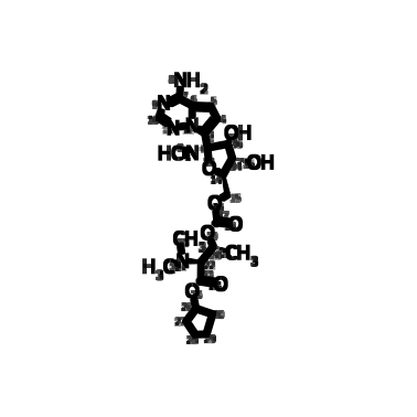 C#[N+][C@@]1(c2ccc3c(N)ncnn23)O[C@H](COC(=O)O[C@H](C)[C@@H](C(=O)OC2CCCC2)N(C)C)[C@@H](O)[C@H]1O